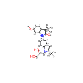 COc1ccc(C2(C(=O)Nc3ccc4c(c3)cc(C(C)(C)C)n4CC(O)CO)CC2(C)C)cc1